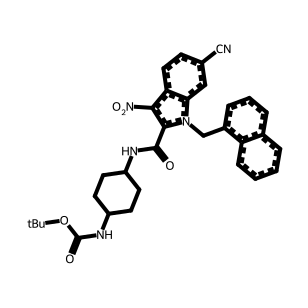 CC(C)(C)OC(=O)NC1CCC(NC(=O)c2c([N+](=O)[O-])c3ccc(C#N)cc3n2Cc2cccc3ccccc23)CC1